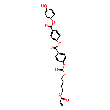 C=CC(=O)OCCCCOC(=O)Oc1ccc(C(=O)Oc2ccc(C(=O)Oc3ccc(O)cc3)cc2)cc1